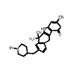 CC(C)N1CCC(Cc2ccc3c(c2)C(C)(C)c2[nH]c4c(c2C3)C(=O)CC(C#N)=C4)CC1